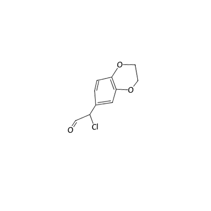 O=CC(Cl)c1ccc2c(c1)OCCO2